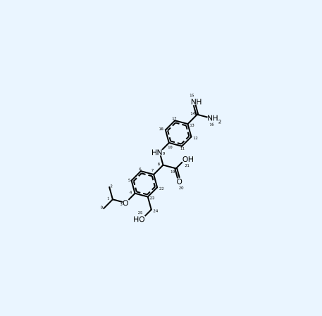 CC(C)Oc1ccc(C(Nc2ccc(C(=N)N)cc2)C(=O)O)cc1CO